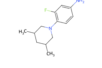 CC1CC(C)CN(c2ccc(N)cc2F)C1